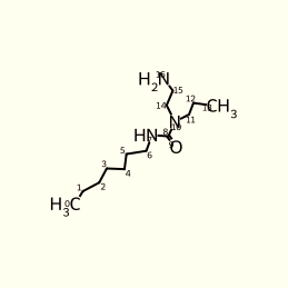 CCCCCCCNC(=O)N(CCC)CCN